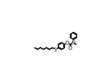 CCCCCCCSc1ccc(OC(=O)N(C)c2ccccc2)cc1